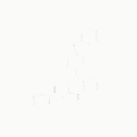 O=C(CNC(=O)c1ccccc1OC1CCN(C(=O)c2ccc(F)cc2Cl)CC1)c1ccccc1